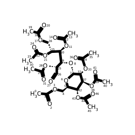 CC(=O)OC[C@H]1O[C@H](O[C@@H]([C@H](OC(C)=O)[C@@H](COC(C)=O)OC(C)=O)[C@H](C=O)OC(C)=O)[C@H](OC(C)=O)[C@@H](OC(C)=O)[C@@H]1OC(C)=O